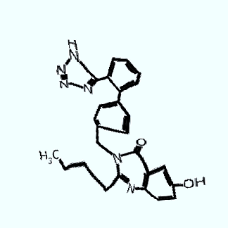 CCCCc1nc2ccc(O)cc2c(=O)n1Cc1ccc(-c2ccccc2-c2nnn[nH]2)cc1